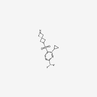 O=S(=O)(c1ccc(C(F)F)nc1C1CC1)N1CC2(CNC2)C1